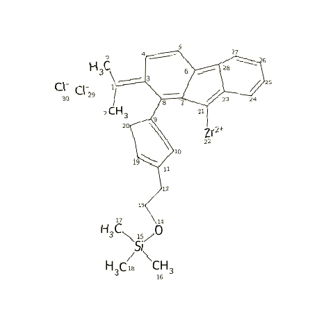 CC(C)=c1ccc2c(c1C1=CC(CCO[Si](C)(C)C)=CC1)[C]([Zr+2])=c1ccccc1=2.[Cl-].[Cl-]